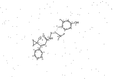 Cc1cc(O)ccc1C[C@@H](CNC(=O)/C=C(/c1cccnc1)C1(C(F)(F)F)CC1)N(C)C